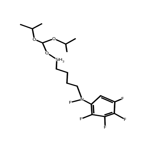 CC(C)OC(O[SiH2]CCCCN(F)c1cc(F)c(F)c(F)c1F)OC(C)C